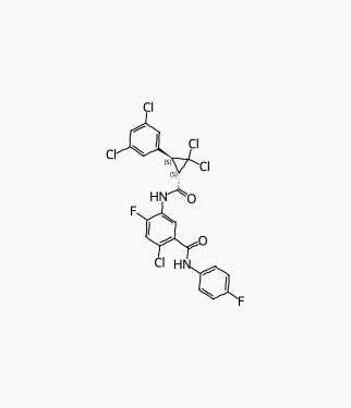 O=C(Nc1ccc(F)cc1)c1cc(NC(=O)[C@@H]2[C@@H](c3cc(Cl)cc(Cl)c3)C2(Cl)Cl)c(F)cc1Cl